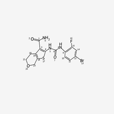 NC(=O)c1c(NC(=O)Nc2ccc(Br)cc2F)sc2c1CCOC2